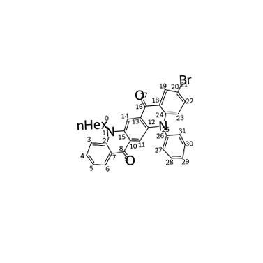 CCCCCCn1c2ccccc2c(=O)c2cc3c(cc21)c(=O)c1cc(Br)ccc1n3-c1ccccc1